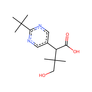 CC(C)(C)c1ncc(C(C(=O)O)C(C)(C)CO)cn1